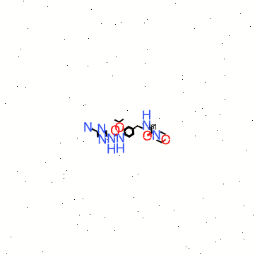 CC(C)Oc1cc(CCN[C@@H](C)C(=O)N2CCOCC2)ccc1NC(=O)Nc1cnc(C#N)cn1